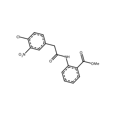 COC(=O)c1ccccc1NC(=O)Cc1ccc(Cl)c([N+](=O)[O-])c1